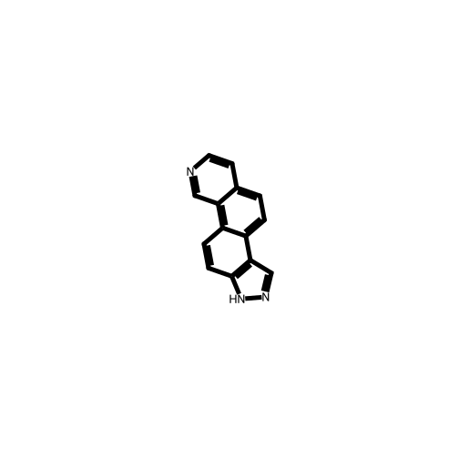 c1cc2ccc3c4cn[nH]c4ccc3c2cn1